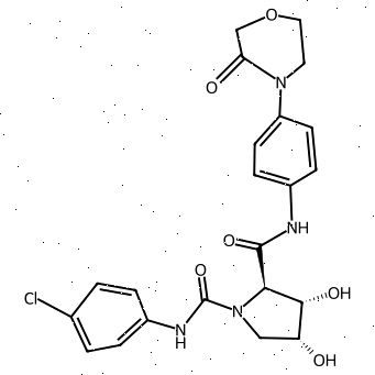 O=C(Nc1ccc(N2CCOCC2=O)cc1)[C@H]1[C@H](O)[C@H](O)CN1C(=O)Nc1ccc(Cl)cc1